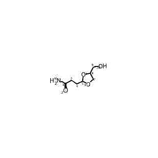 NC(=O)CCC1OCC(CO)O1